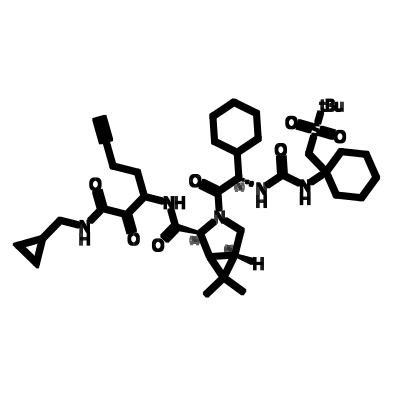 C#CCCC(NC(=O)[C@@H]1C2[C@H](CN1C(=O)[C@@H](NC(=O)NC1(CS(=O)(=O)C(C)(C)C)CCCCC1)C1CCCCC1)C2(C)C)C(=O)C(=O)NCC1CC1